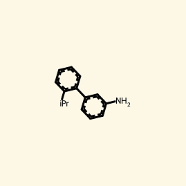 CC(C)c1ccccc1-c1cccc(N)c1